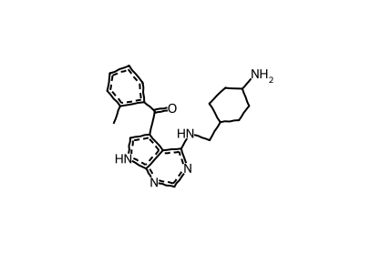 Cc1ccccc1C(=O)c1c[nH]c2ncnc(NCC3CCC(N)CC3)c12